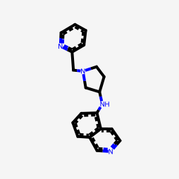 c1ccc(CN2CCC(Nc3cccc4cnccc34)C2)nc1